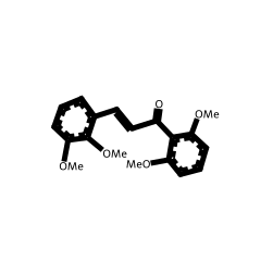 COc1cccc(C=CC(=O)c2c(OC)cccc2OC)c1OC